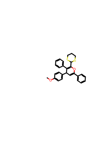 COc1ccc(C2C=C(c3ccccc3)OC(C3SCCCS3)=C2c2ccccc2)cc1